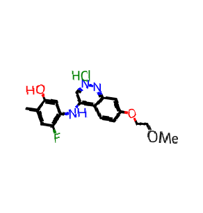 COCCOc1ccc2c(Nc3cc(O)c(C)cc3F)cnnc2c1.Cl